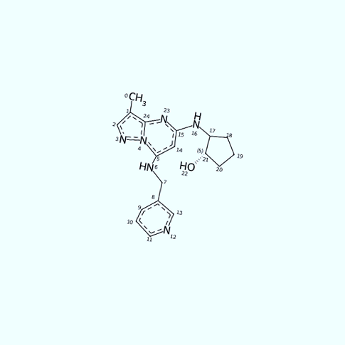 Cc1cnn2c(NCc3cccnc3)cc(NC3CCC[C@@H]3O)nc12